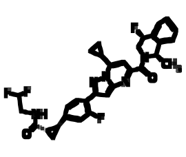 C[C@@H]1c2ccccc2[C@H](F)CN1C(=O)c1cc(C2CC2)n2nc(-c3ccc([C@H]4C[C@@H]4C(=O)NCC(F)F)cc3F)cc2n1